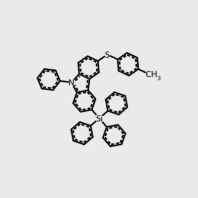 Cc1ccc(Sc2ccc3c(c2)c2cc([Si](c4ccccc4)(c4ccccc4)c4ccccc4)ccc2n3-c2ccccc2)cc1